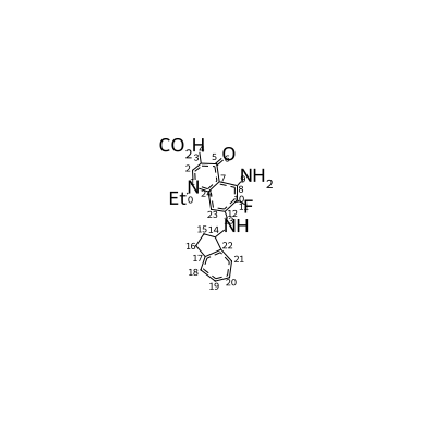 CCn1cc(C(=O)O)c(=O)c2c(N)c(F)c(NC3CCc4ccccc43)cc21